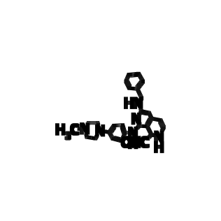 CN1CCN(c2ccc(Nc3nc(NCc4ccccc4)cc4c3C(C=O)NC=C4)cc2)CC1